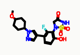 COC1CCC(n2cc(-c3ccc(O)c(N4CC(=O)NS4(=O)=O)c3F)cn2)CC1